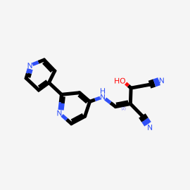 N#C/C(=C/Nc1ccnc(-c2ccncc2)c1)C(O)C#N